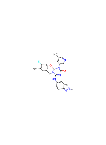 Cn1cc2cc(Nc3nc(=O)n(-c4cncc(C#N)c4)c(=O)n3Cc3ccc(F)c(C#N)c3)ccc2n1